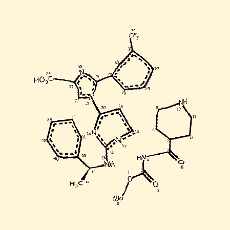 CC(C)(C)OC(=O)NC(=O)C1CCNCC1.C[C@H](Nc1nccc(-n2cc(C(=O)O)nc2-c2cccc(C(F)(F)F)c2)n1)c1ccccc1